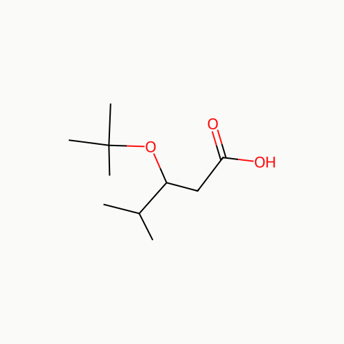 CC(C)C(CC(=O)O)OC(C)(C)C